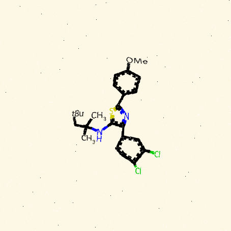 COc1ccc(-c2nc(-c3ccc(Cl)c(Cl)c3)c(NC(C)(C)CC(C)(C)C)s2)cc1